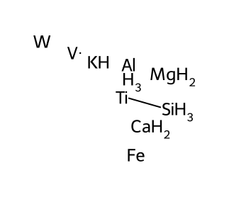 [AlH3].[CaH2].[Fe].[KH].[MgH2].[SiH3][Ti].[V].[W]